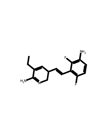 CCC1=CC(C=Cc2c(F)ccc(N)c2F)CN=C1N